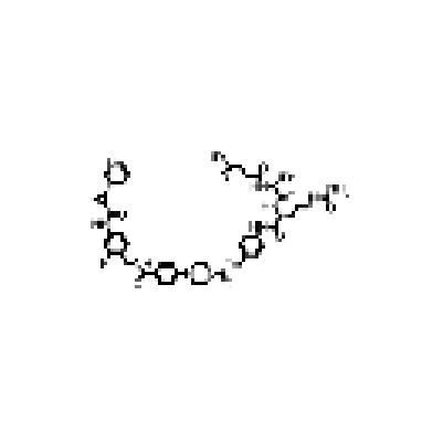 CC(C)C(=O)CCC(=O)N[C@H](C(=O)N[C@@H](CCCNC(N)=O)C(=O)Nc1ccc(COC(=O)N2CCN(c3ccc(C(=O)NCc4ccc(NC(=O)[C@H]5C[C@@H]5c5cccnc5)cc4F)cc3)CC2)cc1)C(C)C